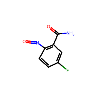 NC(=O)c1cc(F)ccc1N=O